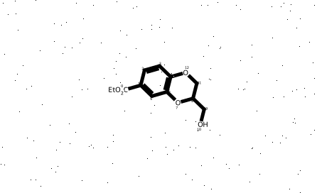 CCOC(=O)c1ccc2c(c1)OC(CO)CO2